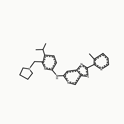 Cc1cccnc1-c1nc2cc(Nc3ccc(C(C)C)c(CN4CCCC4)n3)ncc2s1